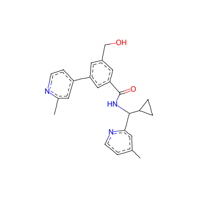 Cc1ccnc(C(NC(=O)c2cc(CO)cc(-c3ccnc(C)c3)c2)C2CC2)c1